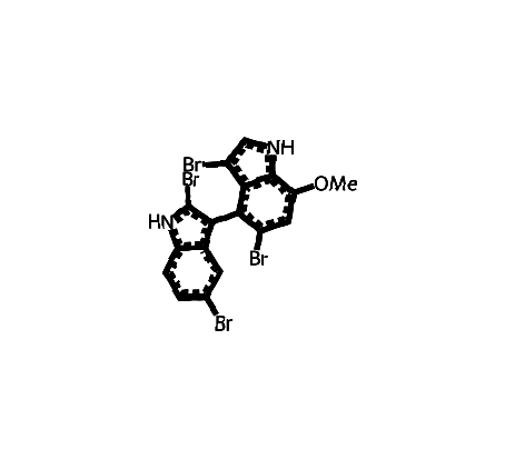 COc1cc(Br)c(-c2c(Br)[nH]c3ccc(Br)cc23)c2c(Br)c[nH]c12